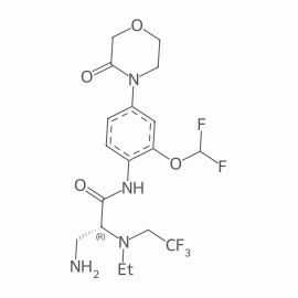 CCN(CC(F)(F)F)[C@H](CN)C(=O)Nc1ccc(N2CCOCC2=O)cc1OC(F)F